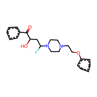 O=C(c1ccccc1)C(O)CC(F)N1CCN(CCOc2ccccc2)CC1